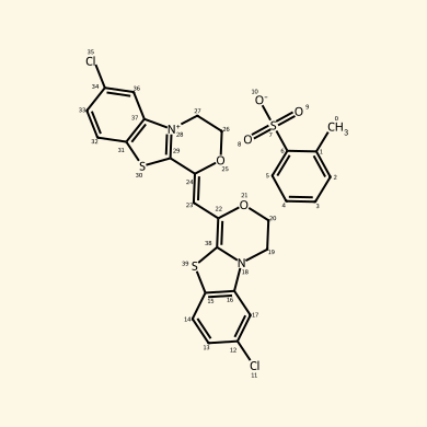 Cc1ccccc1S(=O)(=O)[O-].Clc1ccc2c(c1)N1CCOC(C=C3OCC[n+]4c3sc3ccc(Cl)cc34)=C1S2